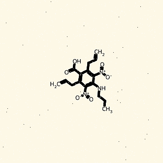 C=CCc1c(C(=O)O)c(CC=C)c([N+](=O)[O-])c(NCCC)c1[N+](=O)[O-]